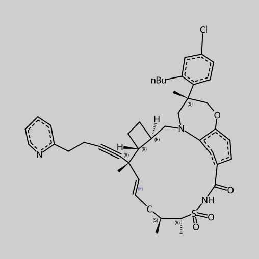 CCCCc1cc(Cl)ccc1[C@]1(C)COc2ccc3cc2N(C[C@@H]2CC[C@H]2[C@@](C)(C#CCCc2ccccn2)/C=C/C[C@H](C)[C@@H](C)S(=O)(=O)NC3=O)C1